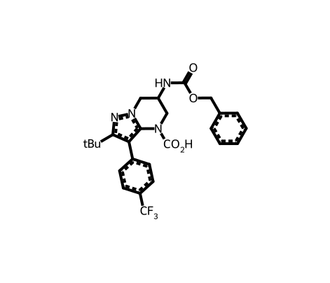 CC(C)(C)c1nn2c(c1-c1ccc(C(F)(F)F)cc1)N(C(=O)O)CC(NC(=O)OCc1ccccc1)C2